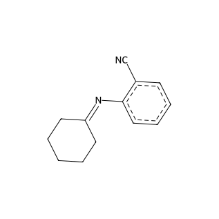 N#Cc1ccccc1N=C1CCCCC1